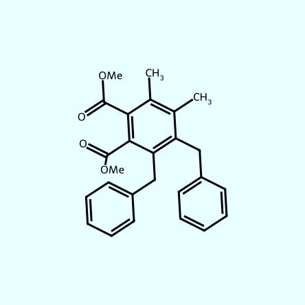 COC(=O)c1c(C)c(C)c(Cc2ccccc2)c(Cc2ccccc2)c1C(=O)OC